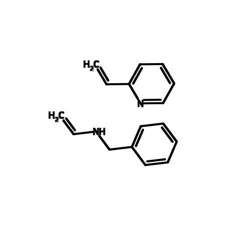 C=CNCc1ccccc1.C=Cc1ccccn1